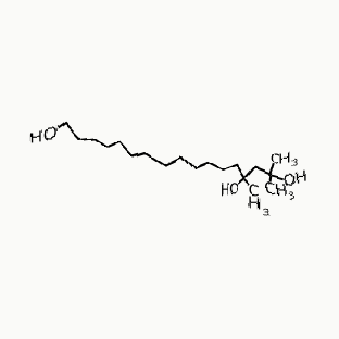 CC(C)(O)CC(C)(O)CCCCCCCCCCCCCO